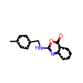 Cc1ccc(CNc2nc3ccccc3c(=O)o2)cc1